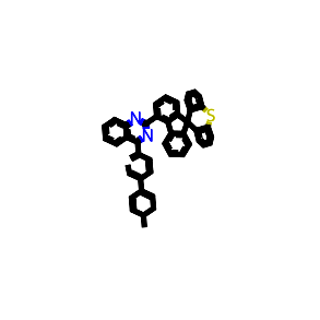 C=C(/C=C\C(=C/C)C1=CCC(C)C=C1)c1nc(-c2cccc3c2-c2ccccc2C32c3ccccc3Sc3ccccc32)nc2ccccc12